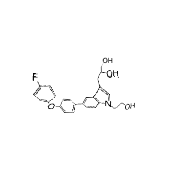 OCCn1cc(CC(O)CO)c2cc(-c3ccc(Oc4ccc(F)cc4)cc3)ccc21